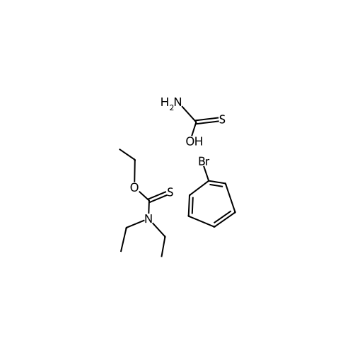 Brc1ccccc1.CCOC(=S)N(CC)CC.NC(O)=S